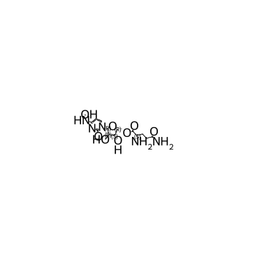 NC(=O)CC[C@H](N)C(=O)OC[C@H]1O[C@@H](n2ccc(NO)nc2=O)[C@H](O)[C@@H]1O